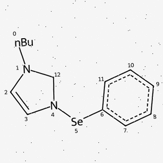 CCCCN1C=CN([Se]c2ccccc2)C1